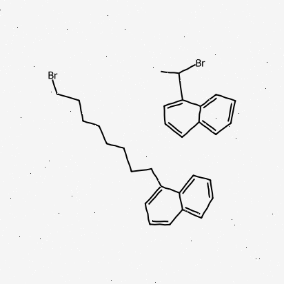 BrCCCCCCCCc1cccc2ccccc12.CC(Br)c1cccc2ccccc12